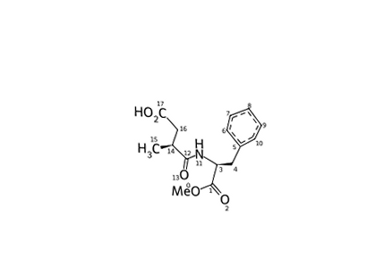 COC(=O)[C@H](Cc1ccccc1)NC(=O)[C@@H](C)CC(=O)O